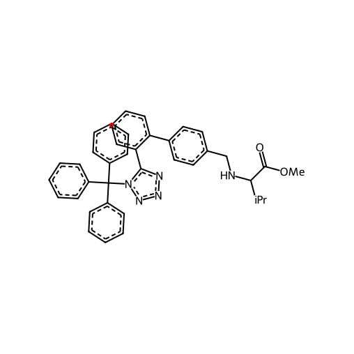 COC(=O)C(NCc1ccc(-c2ccccc2-c2nnnn2C(c2ccccc2)(c2ccccc2)c2ccccc2)cc1)C(C)C